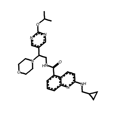 CC(C)Oc1ncc(C(CNC(=O)c2cccc3nc(NCC4CC4)ccc23)N2CCOCC2)cn1